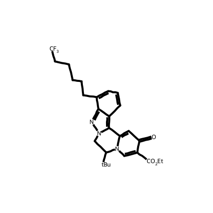 CCOC(=O)c1cn2c(cc1=O)-c1c3cccc(CCCCCC(F)(F)F)c3nn1CC2C(C)(C)C